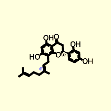 CC(C)=CCC/C(C)=C/Cc1c(O)cc(O)c2c1O[C@H](c1ccc(O)cc1O)CC2=O